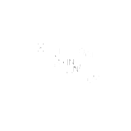 CCCCCCCCCCCC(=O)OCCCCNC(=O)CCC(NC(=O)CCC(=O)O)C(=O)NCCCCOC(=O)CCCCCCCCCCC